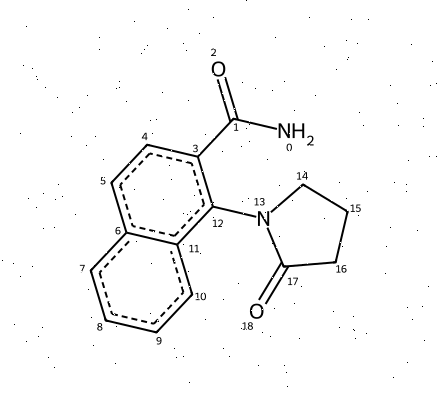 NC(=O)c1ccc2ccccc2c1N1CCCC1=O